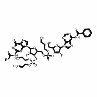 C=CCOP(=O)(OCCC#N)O[C@@H]1C(COP(=O)(OCCCC#N)O[C@@H]2C(CO)OC(n3cnc4c(NC(=O)c5ccccc5)ncnc43)[C@@H]2F)OC(n2cnc3c(=O)[nH]c(NC(=O)C(C)C)nc32)[C@@H]1F